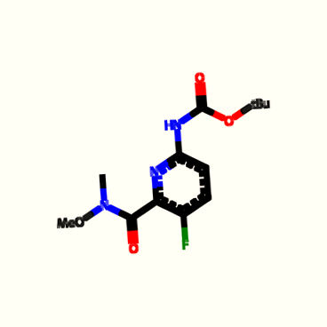 CON(C)C(=O)c1nc(NC(=O)OC(C)(C)C)ccc1F